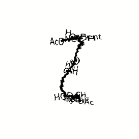 CCCCCC(OC(=O)CNCCOC(C)=O)C(O)C/C=C\CCCCCCCC(=O)NCCNC(=O)CCCCCCC/C=C\CC(O)C(CCCCC)OC(=O)C[N+](C)(C)CCOC(C)=O